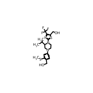 CSc1cc(N2CCN(c3nc(C(F)(F)F)c(CO)s3)C(C(C)C)C2)ccc1CO